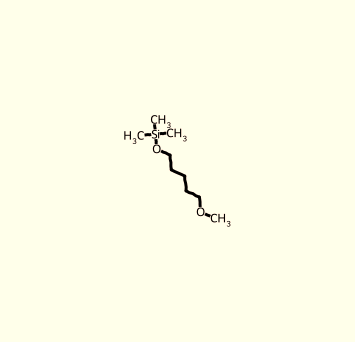 COCCCCCO[Si](C)(C)C